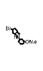 COc1cccc(-n2cc3ccc(Br)cc3n2)c1